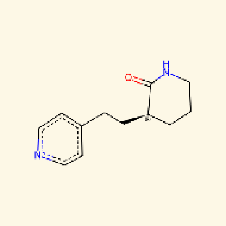 O=C1NCCC[C@H]1CCc1ccncc1